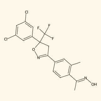 CC(=NO)c1ccc(C2=NOC(c3cc(Cl)cc(Cl)c3)(C(F)(F)F)C2)cc1C